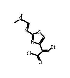 CC/C=C(/C(=O)Cl)c1csc(/N=C/N(C)C)n1